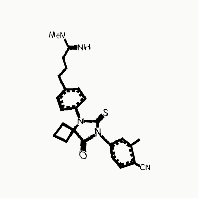 CNC(=N)CCCc1ccc(N2C(=S)N(c3ccc(C#N)c(C)c3)C(=O)C23CCC3)cc1